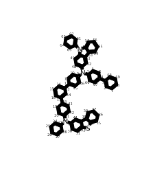 c1ccc(-c2ccc(N(c3ccc(-c4cccc(-c5ccc(N(c6ccccc6)c6ccc7sc8ccccc8c7c6)cc5)c4)cc3)c3ccc4c(c3)c3ccccc3n4-c3ccccc3)cc2)cc1